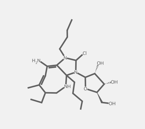 CCCCN1/C2=C(N)/C=C(\C)C(CC)CNC2(CCCC)N(C2O[C@H](CO)[C@@H](O)[C@H]2O)C1Cl